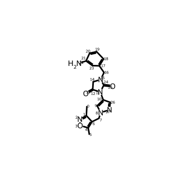 Cc1noc(C)c1Cn1cc(N2C(=O)CN(Cc3cccc(N)c3)C2=O)cn1